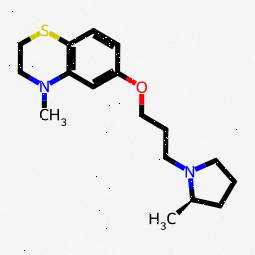 C[C@@H]1CCCN1CCCOc1ccc2c(c1)N(C)CCS2